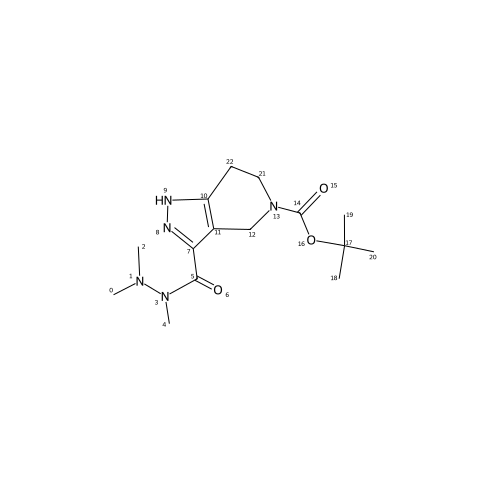 CN(C)N(C)C(=O)c1n[nH]c2c1CN(C(=O)OC(C)(C)C)CC2